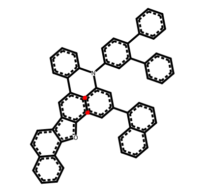 c1ccc(-c2ccc(N(c3cccc(-c4cccc5ccccc45)c3)c3ccccc3-c3ccc4oc5c6ccccc6ccc5c4c3)cc2-c2ccccc2)cc1